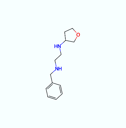 c1ccc(CNCCNC2CCOC2)cc1